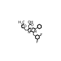 Cc1ccc(Cc2nc3c(Cc4cc(F)cc(F)c4)nc(-c4ccccc4)cn3c2CC(=O)O)o1